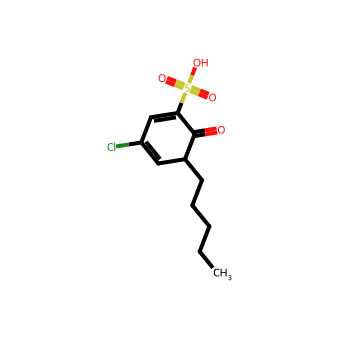 CCCCCC1C=C(Cl)C=C(S(=O)(=O)O)C1=O